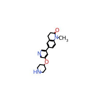 CN1C(=O)CCc2cc(-c3cncc(OC4CCNCC4)c3)ccc21